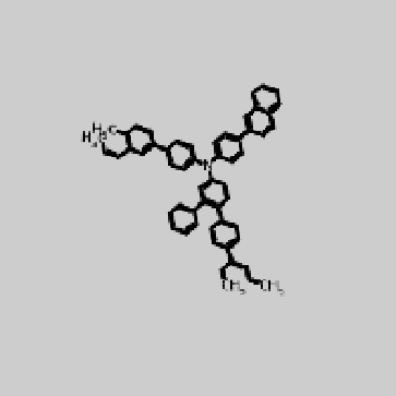 C=C/C=C(\C=C)c1ccc(-c2ccc(N(c3ccc(-c4ccc(C)c(/C=C\C)c4)cc3)c3ccc(-c4ccc5ccccc5c4)cc3)cc2-c2ccccc2)cc1